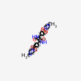 CN1CCN(S(=O)(=O)c2ccc(C3=C4C(=O)NC(c5ccc(S(=O)(=O)N6CCN(C)CC6)cc5)=C4C(=O)N3)cc2)CC1